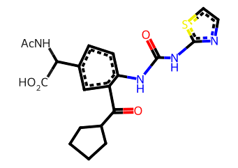 CC(=O)NC(C(=O)O)c1ccc(NC(=O)Nc2nccs2)c(C(=O)C2CCCC2)c1